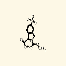 COC(=O)N1Cc2cc(S(=O)(=O)Cl)ccc2C1C(=O)O